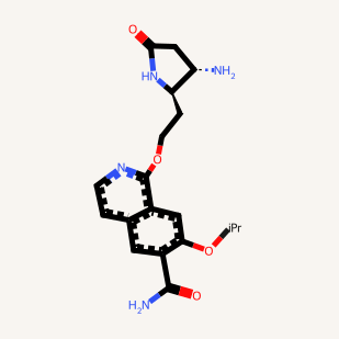 CC(C)Oc1cc2c(OCC[C@H]3NC(=O)C[C@@H]3N)nccc2cc1C(N)=O